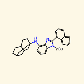 CCCCn1c(-c2cccc3ccccc23)nc2c(NC34CCC5CCC(CC5C3)C4)cccc21